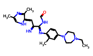 CCN1CCN(c2ccc(/N=C(\NC=O)C(=N)/C=C3\NC=C(C)N=C3C)c(C)c2)CC1